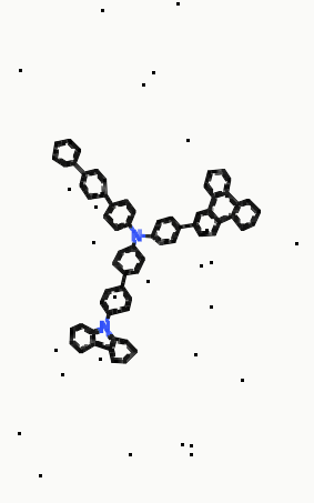 c1ccc(-c2ccc(-c3ccc(N(c4ccc(-c5ccc(-n6c7ccccc7c7ccccc76)cc5)cc4)c4ccc(-c5ccc6c7ccccc7c7ccccc7c6c5)cc4)cc3)cc2)cc1